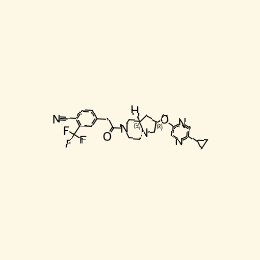 N#Cc1ccc(CC(=O)N2CCN3C[C@H](Oc4cnc(C5CC5)cn4)C[C@H]3C2)cc1C(F)(F)F